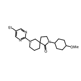 CCc1cnc(N2CCCC3(CCN(C4CCC(OC)CC4)C3=O)C2)nc1